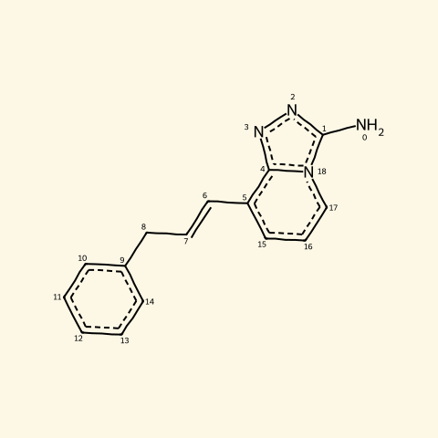 Nc1nnc2c(C=CCc3ccccc3)cccn12